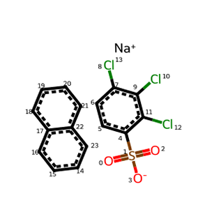 O=S(=O)([O-])c1ccc(Cl)c(Cl)c1Cl.[Na+].c1ccc2ccccc2c1